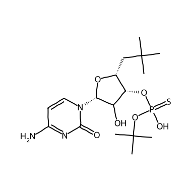 CC(C)(C)C[C@H]1O[C@@H](n2ccc(N)nc2=O)C(O)[C@H]1OP(O)(=S)OC(C)(C)C